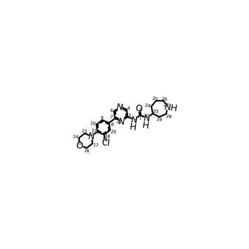 O=C(Nc1cncc(-c2ccc(N3CCOCC3)c(Cl)c2)n1)NC1CCCNCC1